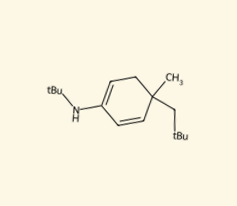 CC(C)(C)CC1(C)C=CC(NC(C)(C)C)=CC1